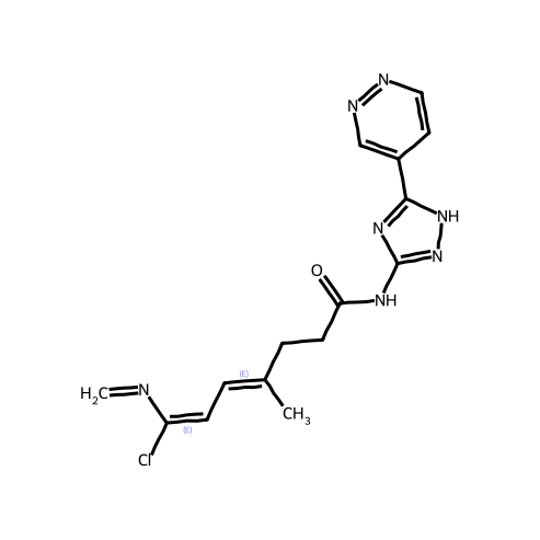 C=N/C(Cl)=C\C=C(/C)CCC(=O)Nc1n[nH]c(-c2ccnnc2)n1